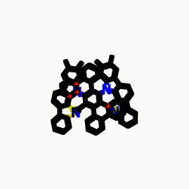 Cc1cc2c3ccc4c5ccccc5sc4c3n(-c3c(C#N)c(-c4ccccc4-c4ccccc4)c(C#N)c(-n4c5cc(C)c(C)cc5c5ccc6c7ccccc7sc6c54)c3-c3ccccc3-c3ccccc3)c2cc1C